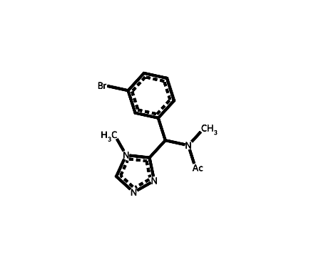 CC(=O)N(C)C(c1cccc(Br)c1)c1nncn1C